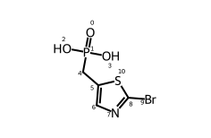 O=P(O)(O)Cc1cnc(Br)s1